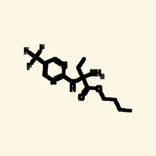 CCCCOC(=O)C(N)(CC)Nc1ncc(C(F)(F)F)cn1